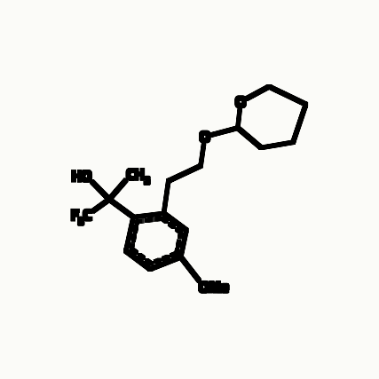 COc1ccc(C(C)(O)C(F)(F)F)c(CCOC2CCCCO2)c1